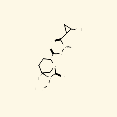 CN(NC(=O)[C@@H]1CC[C@@H]2CN1C(=O)N2OS(=O)(=O)O)C(=O)C1CC1N